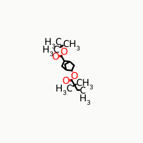 CCC(C)(C)C(=O)OC1CC2CC1CC2C(=O)OC(C)(C)C